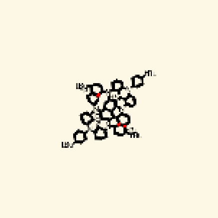 CC(C)(C)c1ccc(N2c3cccc4c3[SiH]3c5c2cccc5N(c2ccc(C(C)(C)C)cc2)c2c3c(cc3c5c6c(cc23)N(c2ccc(C(C)(C)C)cc2)c2cccc3c2[SiH]6c2c(cccc2N5c2ccc(C(C)(C)C)cc2)N3c2ccc(C(C)(C)C)cc2)N4c2ccc(C(C)(C)C)cc2)cc1